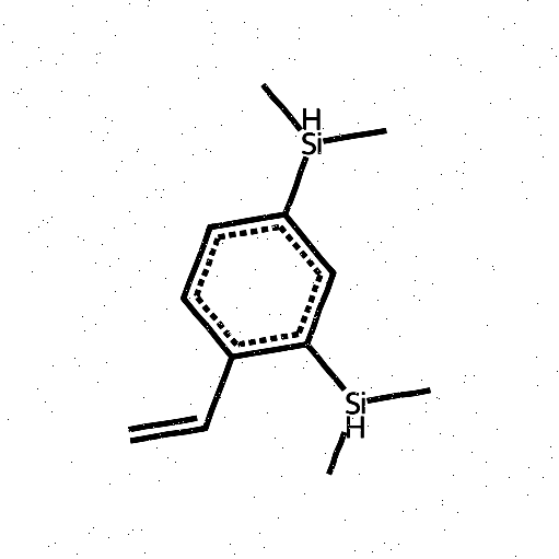 C=Cc1ccc([SiH](C)C)cc1[SiH](C)C